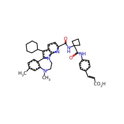 Cc1ccc2c(c1)N(C)CCn1c-2c(C2CCCCC2)c2ccc(C(=O)NC3(C(=O)Nc4ccc(C=CC(=O)O)cc4)CCC3)nc21